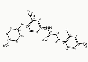 CCN1CCN(Cc2ccc(NC(=O)COc3ccc(Br)cc3C)cc2C(F)(F)F)CC1